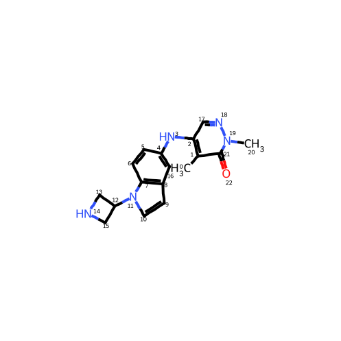 Cc1c(Nc2ccc3c(ccn3C3CNC3)c2)cnn(C)c1=O